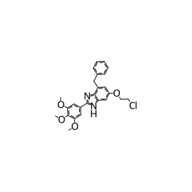 COc1cc(-c2nc3c(Cc4ccccc4)cc(OCCCl)cc3[nH]2)cc(OC)c1OC